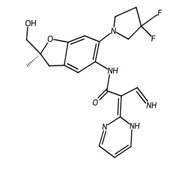 C[C@@]1(CO)Cc2cc(NC(=O)/C(C=N)=C3\N=CC=CN3)c(N3CCC(F)(F)C3)cc2O1